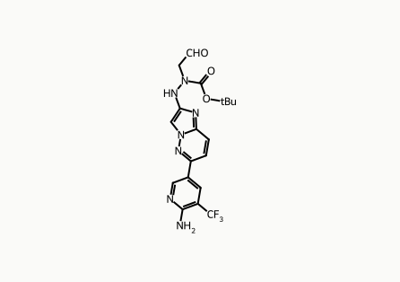 CC(C)(C)OC(=O)N(CC=O)Nc1cn2nc(-c3cnc(N)c(C(F)(F)F)c3)ccc2n1